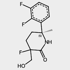 C[C@@]1(c2cccc(F)c2F)CCC(F)(CO)C(=O)N1